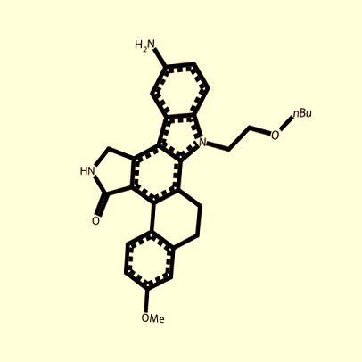 CCCCOCCn1c2ccc(N)cc2c2c3c(c4c(c21)CCc1cc(OC)ccc1-4)C(=O)NC3